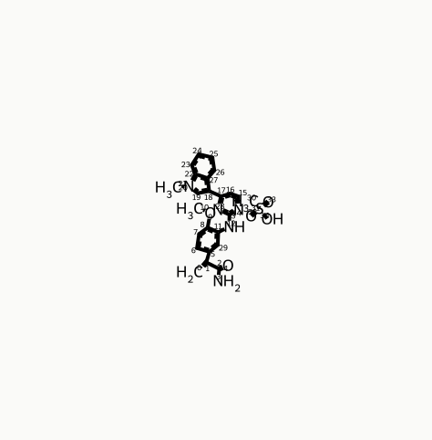 C=C(C(N)=O)c1ccc(OC)c(Nc2nccc(-c3cn(C)c4ccccc34)n2)c1.CS(=O)(=O)O